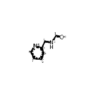 O=CNCc1c[c]ccn1